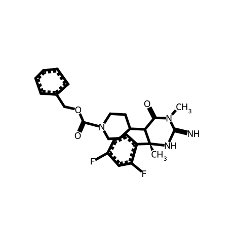 CN1C(=N)N[C@](C)(c2ccc(F)cc2F)C(C2CCN(C(=O)OCc3ccccc3)CC2)C1=O